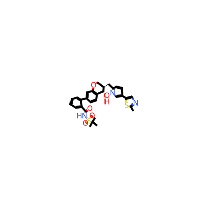 Cc1ncc(-c2ccc(C[C@H]3COc4cc(-c5ccccc5C(=O)NS(=O)(=O)C(C)(C)C)ccc4[C@@H]3O)nc2)s1